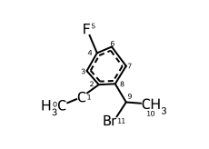 CCc1cc(F)ccc1C(C)Br